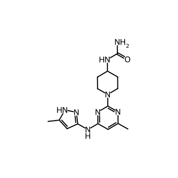 Cc1cc(Nc2cc(C)[nH]n2)nc(N2CCC(NC(N)=O)CC2)n1